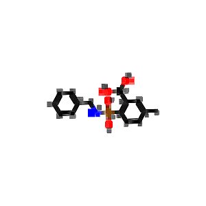 Cc1ccc(S(=O)(=O)NCc2ccccc2)c(B(O)O)c1